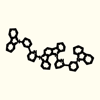 c1cc(-c2cccc(-n3c4ccccc4c4c3ccc3c5ccccc5n(-c5cccc(-c6cccc(-n7c8ccccc8c8ccccc87)c6)n5)c34)n2)cc(-n2c3ccccc3c3ccccc32)c1